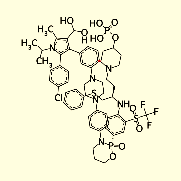 Cc1c(C(O)O)c(-c2cccc(N3CCN(c4ccc(N5CCCO[P@@]5(=O)c5ccc(N[C@H](CCN6CCC(OP(=O)(O)O)CC6)CSc6ccccc6)c(S(=O)(=O)C(F)(F)F)c5)cc4)CC3)c2)c(-c2ccc(Cl)cc2)n1C(C)C